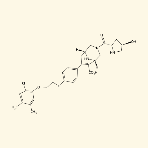 Cc1cc(Cl)c(OCCOc2ccc(C3=C(C(=O)O)[C@H]4CN(C(=O)[C@@H]5C[C@@H](O)CN5)C[C@@H](C3)N4)cc2)cc1C